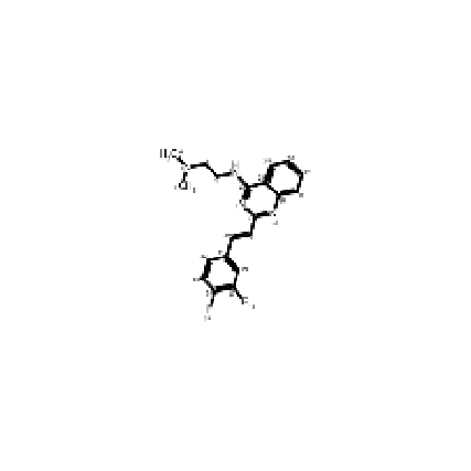 CN(C)CCNc1nc(C=Cc2ccc(F)c(F)c2)nc2ccccc12